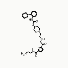 NCCNC(=O)c1ccc(C(=O)CNCCN2CCC(OC(=O)Nc3ccccc3-c3ccccc3)CC2)s1